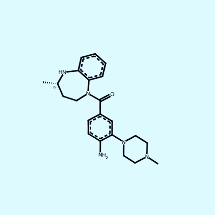 C[C@H]1CCN(C(=O)c2ccc(N)c(N3CCN(C)CC3)c2)c2ccccc2N1